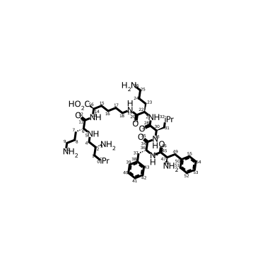 CC(C)C[C@@H](N)CN[C@H](CCCN)C(=O)N[C@H](CCCCNC(=O)[C@@H](CCCN)NC(=O)[C@@H](CC(C)C)NC(=O)[C@@H](Cc1ccccc1)NC(=O)[C@H](N)Cc1ccccc1)C(=O)O